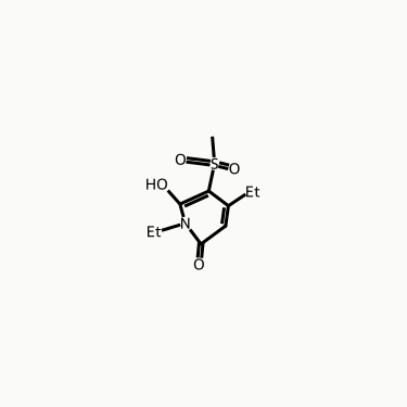 CCc1cc(=O)n(CC)c(O)c1S(C)(=O)=O